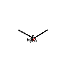 CCCCCCCC/C=C/CCCCCCCC(=O)N(C(=O)CCCCCCC/C=C/CCCCCCCC)C(P)(CO)C(=O)O